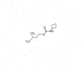 CC(C)CCOC(=O)NC1CCC1